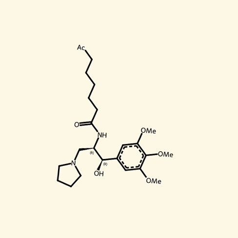 COc1cc([C@@H](O)[C@@H](CN2CCCC2)NC(=O)CCCCCC(C)=O)cc(OC)c1OC